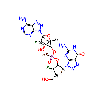 Nc1nc2c(nnn2[C@@H]2S[C@H](CO)[C@@H](F)C2OP(=O)(S)OC2[C@H]3O[C@@H](n4nnc5c(N)ncnc54)[C@@H](F)[C@@]23O)c(=O)[nH]1